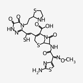 CON=C(C(=O)NC1C(=O)N2C(C(=O)O)=C(C=C(S)c3n[nH]c(=O)c(=O)n3CCC3NCCS3)CSC12)c1csc(N)n1